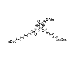 CCCCCCCCCCCCCCCCCCOC(=O)CCC(NC(=O)OCCOC)C(=O)OCCCCCCCCCCCCCCCCCC